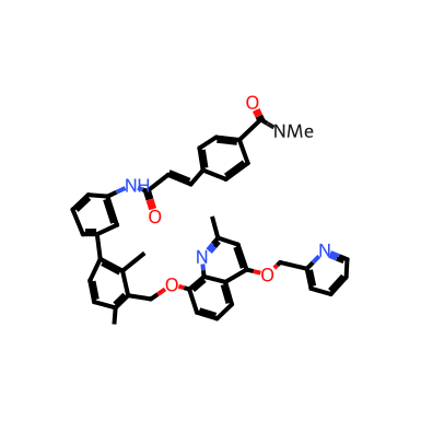 CNC(=O)c1ccc(C=CC(=O)Nc2cccc(-c3ccc(C)c(COc4cccc5c(OCc6ccccn6)cc(C)nc45)c3C)c2)cc1